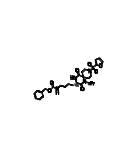 CCCN1C(=O)[C@H](CCCCNC(=O)OCc2ccccc2)NC(=O)C12CCN(S(=O)(=O)c1ccco1)CC2